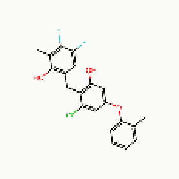 Cc1ccccc1Oc1cc(O)c(Cc2cc(F)c(F)c(C)c2O)c(Cl)c1